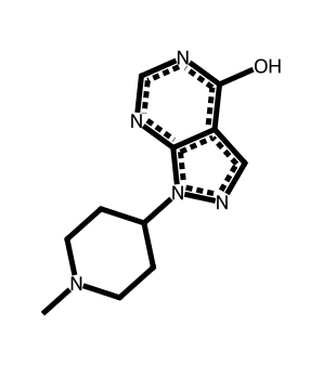 CN1CCC(n2ncc3c(O)ncnc32)CC1